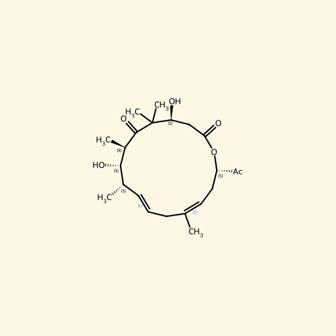 CC(=O)[C@@H]1C/C=C(/C)C/C=C/[C@H](C)[C@H](O)[C@@H](C)C(=O)C(C)(C)[C@@H](O)CC(=O)O1